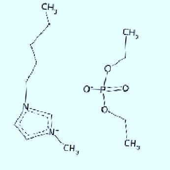 CCCCCn1cc[n+](C)c1.CCOP(=O)([O-])OCC